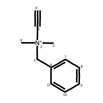 C#C[N+](C)(C)Cc1ccccc1